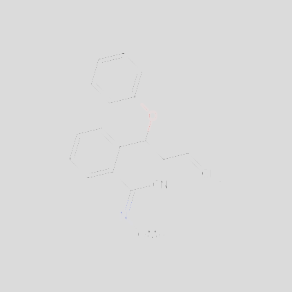 C=CCC(Oc1ccccc1)c1ccccc1C(C#N)=NOC